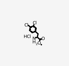 COC(=O)C(N)Cc1ccc(Cl)c(Cl)c1.Cl